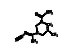 CNCN(CN(C)C(N)=O)/C(N)=N/C#N